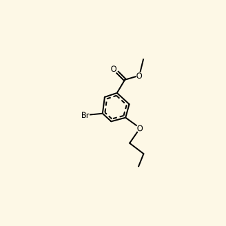 CCCOc1cc(Br)cc(C(=O)OC)c1